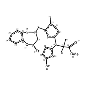 CC[C@@H]1CN(Cc2cc(C(c3ccc(C(C)=O)s3)C(C)(C)C(=O)OC)ccc2C)Sc2ccccc2O1